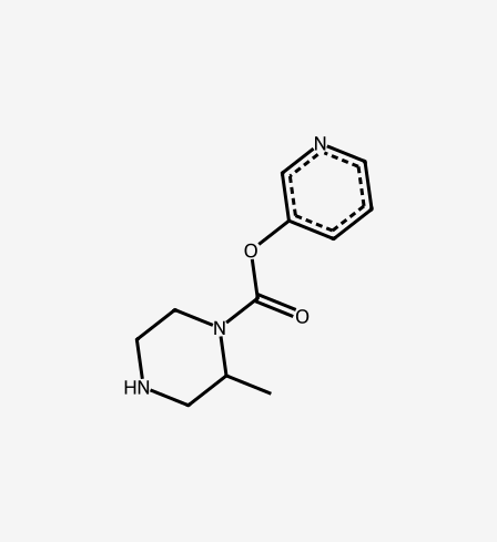 CC1CNCCN1C(=O)Oc1cccnc1